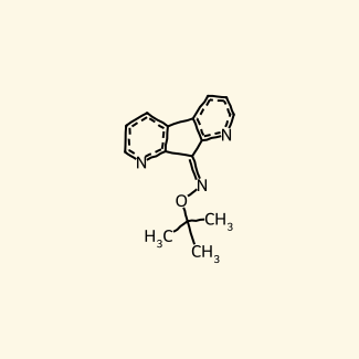 CC(C)(C)ON=C1c2ncccc2-c2cccnc21